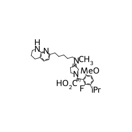 COc1ccc(C(C)C)c(F)c1[C@H](C(=O)O)N1CC[C@@H](N(C)CCCCCc2ccc3c(n2)NCCC3)C1